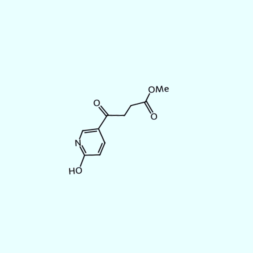 COC(=O)CCC(=O)c1ccc(O)nc1